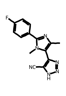 Cc1nc(-c2ccc(F)cc2)n(C)c1-c1nn[nH]c1C#N